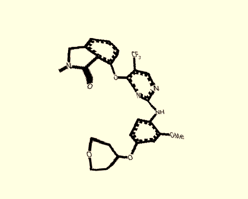 COc1cc(OC2CCOCC2)ccc1Nc1ncc(C(F)(F)F)c(Oc2cccc3c2C(=O)N(C)C3)n1